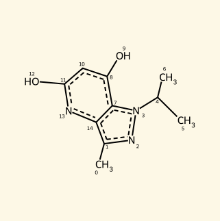 Cc1nn(C(C)C)c2c(O)cc(O)nc12